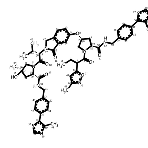 CCC(C(=O)N1C[C@H](Oc2ccc3c(c2)C(=O)N([C@H](C(=O)N2C[C@](C)(O)C[C@H]2C(=O)NCc2ccc(-c4scnc4C)cc2)C(C)C)C3)C[C@H]1C(=O)NCc1ccc(-c2scnc2C)cc1)c1cc(C)no1